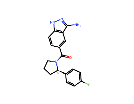 Nc1n[nH]c2ccc(C(=O)N3CCC[C@@H]3c3ccc(F)cc3)cc12